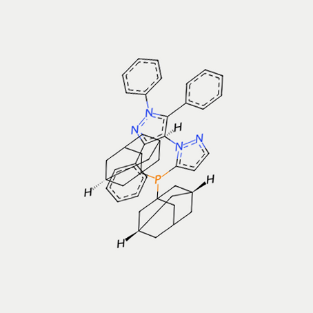 c1ccc(-c2nn(-c3ccccc3)c(-c3ccccc3)c2-n2nccc2P(C23CC4C[C@H](C2)C[C@@H](C4)C3)C23CC4C[C@H](C2)C[C@@H](C4)C3)cc1